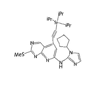 CSc1ncc2c(C#C[Si](C(C)C)(C(C)C)C(C)C)cc(Nc3nccn3C3CCCC3)nc2n1